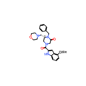 COc1cccc2[nH]c(C(=O)N3CC(=O)N(Cc4ccccc4)[C@@H](CN4CCOCC4)C3)cc12